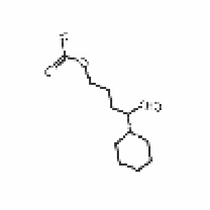 CCC(=O)OCCCC([C]=O)C1CCCCC1